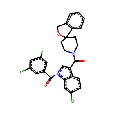 O=C(c1cn(C(=O)c2cc(F)cc(F)c2)c2cc(Cl)ccc12)N1CCC2(CC1)OCc1ccccc12